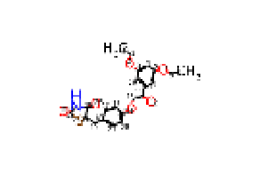 CCOc1cc(OCC)cc(C(=O)COc2ccc(CC3SC(=O)NC3=O)cc2)c1